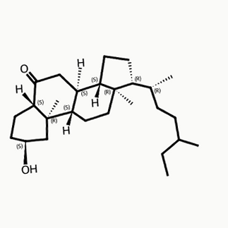 CCC(C)CC[C@@H](C)[C@H]1CC[C@H]2[C@@H]3CC(=O)[C@H]4CC[C@H](O)C[C@]4(C)[C@H]3CC[C@]12C